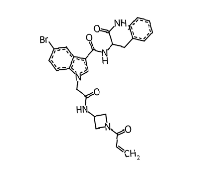 C=CC(=O)N1CC(NC(=O)Cn2cc(C(=O)NC(Cc3ccccc3)C(N)=O)c3cc(Br)ccc32)C1